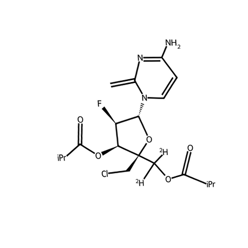 [2H]C([2H])(OC(=O)C(C)C)[C@@]1(CCl)O[C@@H](N2C=CC(N)=NC2=C)[C@H](F)[C@@H]1OC(=O)C(C)C